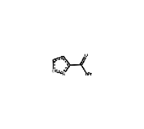 [CH2]CCC(=O)c1ccon1